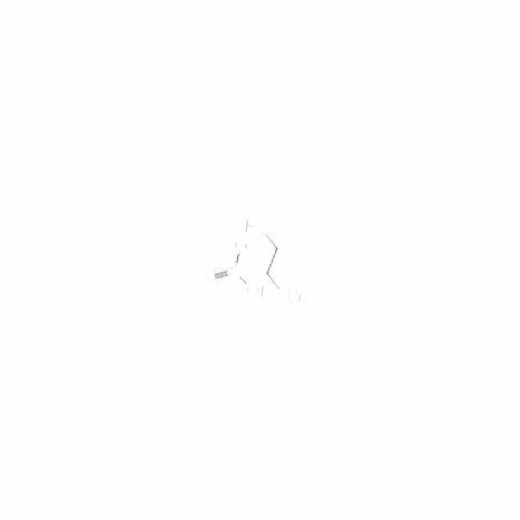 CC(C)(C)CCC(C)(C)C.OS(O)=S